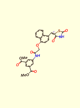 COC(=O)c1cc(NC(=O)COc2ccc(/C=C3/SC(=O)NC3=O)c3ccccc23)cc(C(=O)OC)c1